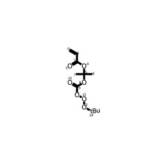 C=CC(=O)OC(C)(C)OC(=O)OOOC(C)(C)C